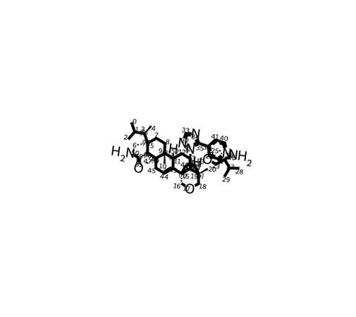 CC(C)[C@@H](C)[C@@]1(C)CC[C@]2(C)[C@H]3CC[C@@H]4[C@@]5(COC[C@@]4(C)[C@@H](OC[C@@](C)(N)C(C)C)[C@H](n4ncnc4-c4ccncc4)C5)C3=CC[C@@]2(C)[C@@H]1C(N)=O